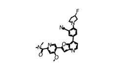 COc1cc(C(=O)N(C)C)ncc1-c1cc2nccc(-c3ccc(N4CC[C@@H](F)C4)c(C#N)c3)c2o1